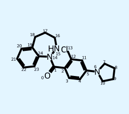 O=C(c1ccc(N2CCCC2)cc1Cl)N1NCCCc2ccccc21